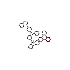 c1ccc(-c2ccccc2-c2c(-c3ccccc3)cccc2-c2ccc(N(c3ccc(-c4cccc5ccccc45)cc3)c3cccc(-n4c5ccccc5c5ccccc54)c3)cc2)cc1